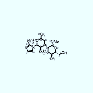 CO[C@H]1O[C@H](CO)[C@@H](O)[C@H](O)[C@@H]1N(CC(O)C(F)(F)F)C(=O)Cn1ccnc1[N+](=O)[O-]